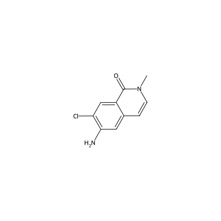 Cn1ccc2cc(N)c(Cl)cc2c1=O